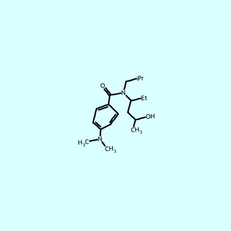 CCC(CC(C)O)N(CC(C)C)C(=O)c1ccc(N(C)C)cc1